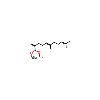 C=C(CC/C=C(\C)CCC=C(C)C)C(OCCCC)OCCCC